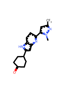 Cn1nc(C(F)(F)F)cc1-c1ccc2[nH]c(C3CCC(=O)CC3)cc2n1